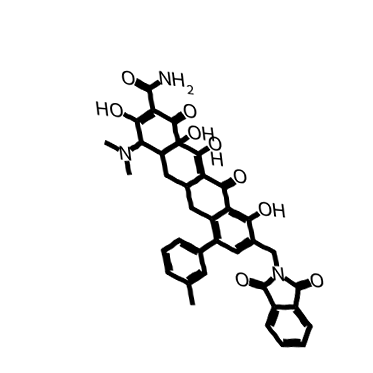 Cc1cccc(-c2cc(CN3C(=O)c4ccccc4C3=O)c(O)c3c2CC2CC4C(N(C)C)C(O)=C(C(N)=O)C(=O)C4(O)C(O)=C2C3=O)c1